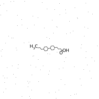 CCCCC1CCC(C2CCC(CCCC(=O)O)CC2)CC1